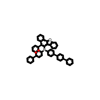 c1ccc(-c2ccc(-c3ccc(N(c4ccc(-c5ccccc5)cc4)c4c(-c5ccccc5)c5ccccc5c5oc6ccccc6c45)cc3)cc2)cc1